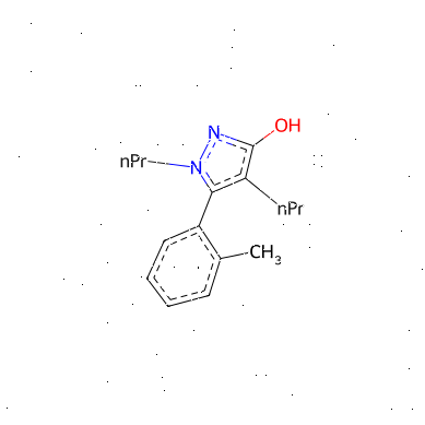 CCCc1c(O)nn(CCC)c1-c1ccccc1C